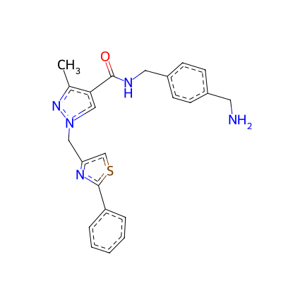 Cc1nn(Cc2csc(-c3ccccc3)n2)cc1C(=O)NCc1ccc(CN)cc1